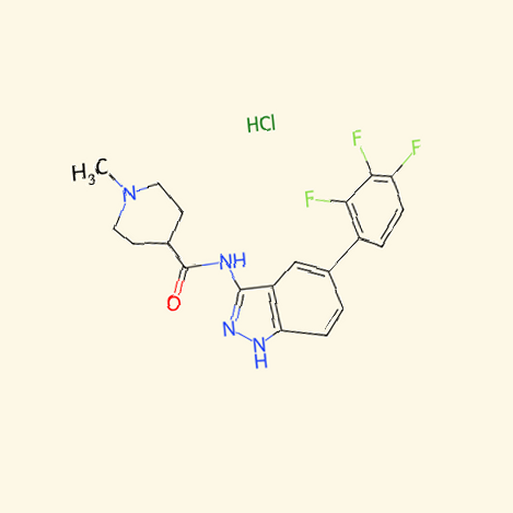 CN1CCC(C(=O)Nc2n[nH]c3ccc(-c4ccc(F)c(F)c4F)cc23)CC1.Cl